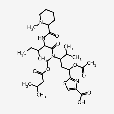 CCC(C)C(NC(=O)C1CCCCN1C)C(=O)N(COC(=O)CC(C)C)C(CC(OC(C)=O)c1nc(C(=O)O)cs1)C(C)C